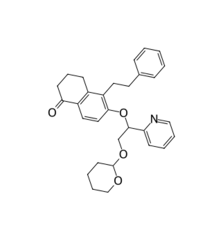 O=C1CCCc2c1ccc(OC(COC1CCCCO1)c1ccccn1)c2CCc1ccccc1